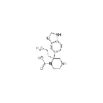 CCCC1(c2ccc3c(c2)OCN3)CNCCN1C(=O)O